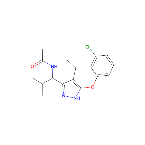 CCc1c(C(NC(C)=O)C(C)C)n[nH]c1Oc1cccc(Cl)c1